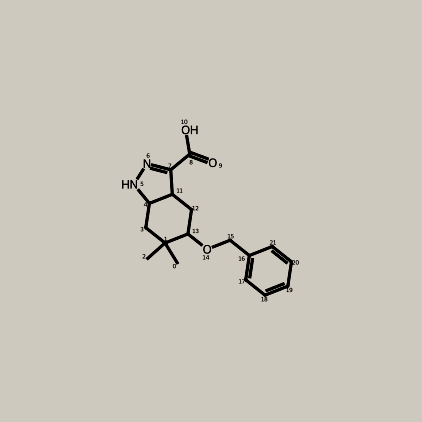 CC1(C)CC2NN=C(C(=O)O)C2CC1OCc1ccccc1